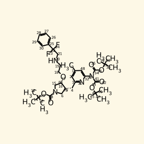 Cc1cc(C[C@@H]2CN(C(=O)OC(C)(C)C)C[C@@H]2OCCNCC(F)(F)c2ccccc2)nc(N(C(=O)OC(C)(C)C)C(=O)OC(C)(C)C)c1